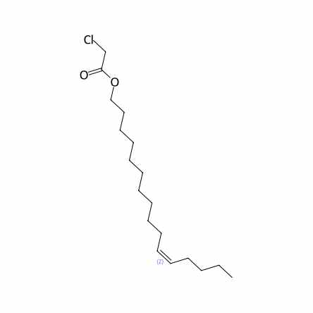 CCCC/C=C\CCCCCCCCCCOC(=O)CCl